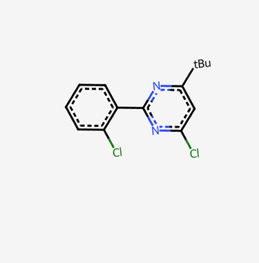 CC(C)(C)c1cc(Cl)nc(-c2ccccc2Cl)n1